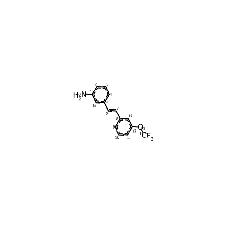 Nc1cccc(/C=C/c2cccc(OC(F)(F)F)c2)c1